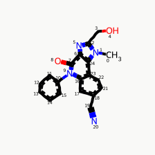 Cn1c(CO)nc2c(=O)n(-c3ccccc3)c3cc(C#N)ccc3c21